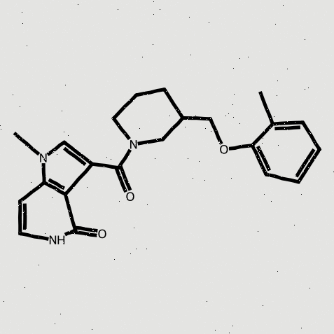 Cc1ccccc1OCC1CCCN(C(=O)c2cn(C)c3cc[nH]c(=O)c23)C1